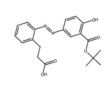 CC(C)(C)OC(=O)c1cc(N=Nc2ccccc2CCC(=O)O)ccc1O